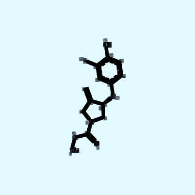 C=C1CN(C(=O)OC(C)(C)C)C[C@@H]1Oc1ccc(C#N)c(F)c1